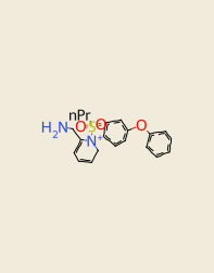 CCCS(=O)(=O)[N+]1(c2ccc(Oc3ccccc3)cc2)CC=CC=C1CN